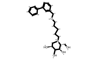 OC[C@@H]1[C@@H](O)C(O)[C@@H](O)CN1CCCCCOCc1cccc(-c2ccccc2)c1